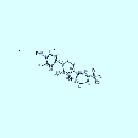 CCc1cnc(N2CCn3c(nc4ccc(S(C)(=O)=O)cc43)C2C(C)C)nc1C